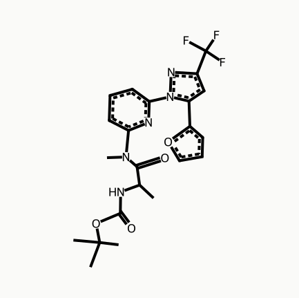 CC(NC(=O)OC(C)(C)C)C(=O)N(C)c1cccc(-n2nc(C(F)(F)F)cc2-c2ccco2)n1